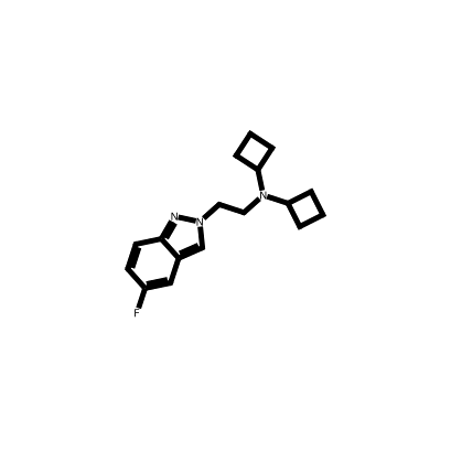 Fc1ccc2nn(CCN(C3CCC3)C3CCC3)cc2c1